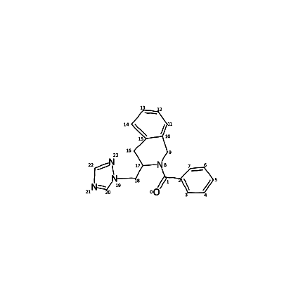 O=C(c1ccccc1)N1Cc2ccccc2CC1Cn1cncn1